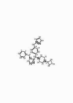 c1ccc(Cn2cnnc2[C@@H](c2ccc(Cn3cccn3)cc2)N2CCN(C3CCC3)CC2)cc1